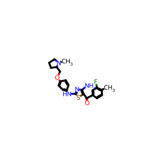 Cc1ccc(C(=O)c2sc(Nc3ccc(OCC4CCCN4C)cc3)nc2N)cc1F